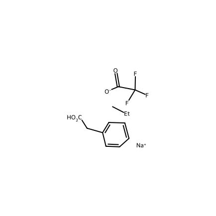 CCC.O=C(O)Cc1ccccc1.O=C([O-])C(F)(F)F.[Na+]